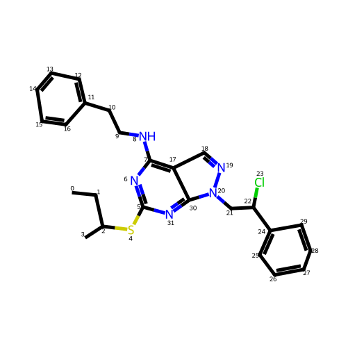 CCC(C)Sc1nc(NCCc2ccccc2)c2cnn(CC(Cl)c3ccccc3)c2n1